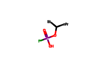 CCCC(CC)OP(=O)(O)F